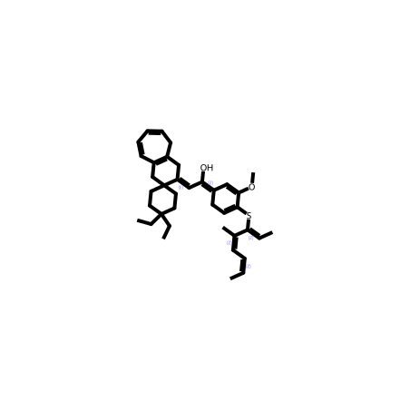 C\C=C/C=C(C)\C(=C\C)SC1=CC/C(=C(O)\C=C2/CC3=C(C=CC=CC3)CC23CCC(CC)(CC)CC3)C=C1OC